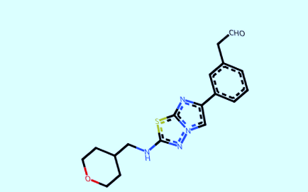 O=CCc1cccc(-c2cn3nc(NCC4CCOCC4)sc3n2)c1